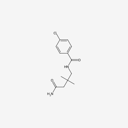 CC(C)(CNC(=O)c1ccc(Cl)cc1)CC(N)=O